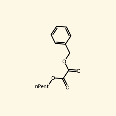 CCCCCOC(=O)C(=O)OCc1ccccc1